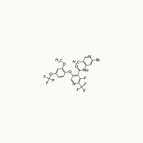 COc1cc(OC(F)(F)F)ccc1Oc1cnc(C(F)(F)F)c(F)c1C(=O)Nc1cc(Br)ncc1C